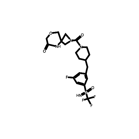 N=S(=O)(c1cc(F)cc(CC2CCN(C(=O)N3CC4(COCC(=O)N4)C3)CC2)c1)C(F)(F)F